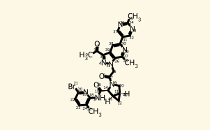 CC(=O)c1nn(CC(=O)N2C[C@H]3C[C@H]3[C@H]2C(=O)Nc2nc(Br)ccc2C)c2c(C)nc(-c3cnc(C)nc3)cc12